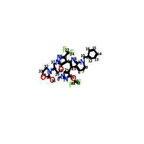 Cn1cc(-c2c3cccn(Cc4ccccc4)c-3nc2-c2c(C(F)F)nn3c2OCC(N2CCOC2=O)C3)c(OC(F)F)n1